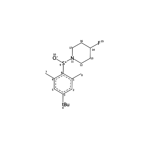 Cc1cc(C(C)(C)C)cc(C)c1[S+]([O-])N1CCC(F)CC1